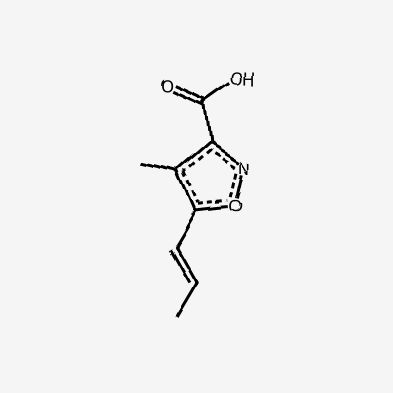 CC=Cc1onc(C(=O)O)c1C